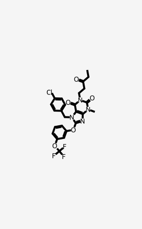 CCC(=O)CCn1c(=O)c2c(nc(Oc3cccc(OC(F)(F)F)c3)n2Cc2ccc(Cl)cc2)n(C)c1=O